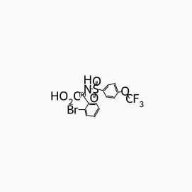 O=C(O)[C@H](NS(=O)(=O)c1ccc(OC(F)(F)F)cc1)c1ccccc1Br